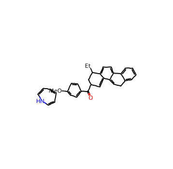 C1=CC=CNC=C1.CCC1CC(C(=O)c2ccc(OC)cc2)C=c2c1ccc1c2=CCc2ccccc2-1